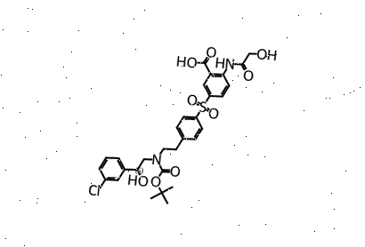 CC(C)(C)OC(=O)N(CCc1ccc(S(=O)(=O)c2ccc(NC(=O)CO)c(C(=O)O)c2)cc1)C[C@@H](O)c1cccc(Cl)c1